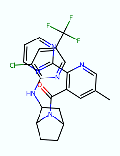 Cc1cnc(-c2ncccn2)c(C(=O)N2C3CCC2C(Nc2ncc(C(F)(F)F)cc2Cl)C3)c1